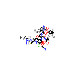 CC[C@@H]1C[C@]1(NC(=O)[C@@H]1C[C@@H](Oc2cc(-c3csc(NC(C)C)n3)nc3c(Cl)c(OCC#N)ccc23)CN1C(=O)C(NC(=O)OC1CC2C[C@H]2C1)C(C)(C)C)C(=O)O